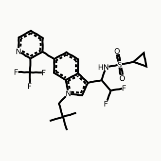 CC(C)(C)Cn1cc(C(NS(=O)(=O)C2CC2)C(F)F)c2ccc(-c3cccnc3C(F)(F)F)cc21